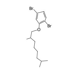 CC(C)CCCCC(C)COc1cc(Br)ccc1Br